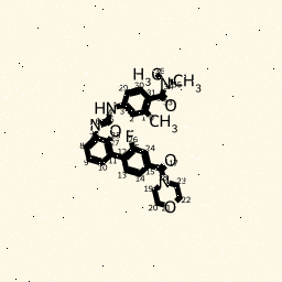 Cc1cc(Nc2nc3cccc(-c4ccc(C(=O)N5CCOCC5)cc4F)c3o2)ccc1C(=O)N(C)C